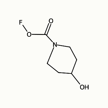 O=C(OF)N1CCC(O)CC1